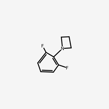 Fc1cccc(F)c1N1CCC1